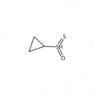 O=[SH](=S)C1CC1